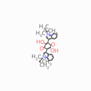 C=CC(C)(C)n1cc(C2=C(O)C(=O)C(c3cn(C(C)(C)C=C)c4ccccc34)=C(O)C2=O)c2ccccc21